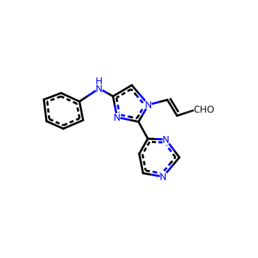 O=CC=Cn1cc(Nc2ccccc2)nc1-c1ccncn1